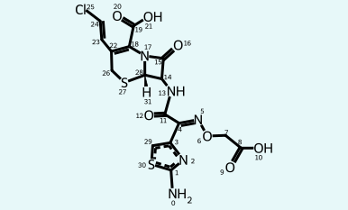 Nc1nc(C(=NOCC(=O)O)C(=O)NC2C(=O)N3C(C(=O)O)=C(C=CCl)CS[C@@H]23)cs1